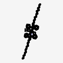 CCCCCCCCCCCCCCn1c(-c2ccccc2)c(C2=C(O)/C(=C3/C(c4ccccc4)=[N+](CCCCCCCCCCCCCC)c4ccccc43)C2=O)c2ccccc21